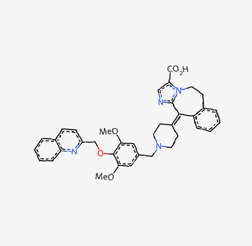 COc1cc(CN2CCC(=C3c4ccccc4CCn4c(C(=O)O)cnc43)CC2)cc(OC)c1OCc1ccc2ccccc2n1